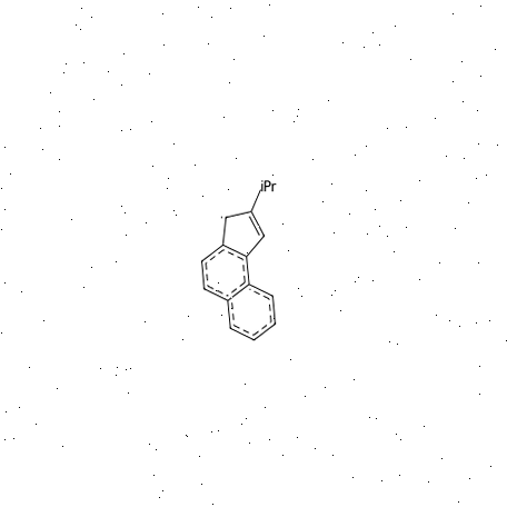 CC(C)C1=Cc2c(ccc3ccccc23)[CH]1